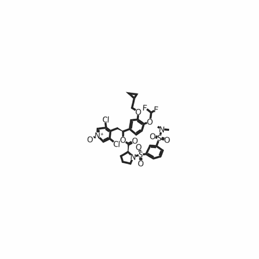 CN(C)S(=O)(=O)c1cccc(S(=O)(=O)N2CCC[C@H]2C(=O)O[C@@H](Cc2c(Cl)c[n+]([O-])cc2Cl)c2ccc(OC(F)F)c(OCC3CC3)c2)c1